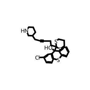 OC1(C2(CCC#CCC3CCCNC3)SCCCS2)c2ccccc2Sc2ccc(Cl)cc21